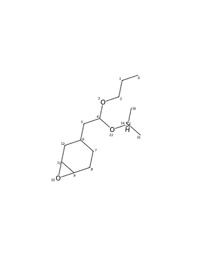 CCCOC(CC1CCC2OC2C1)O[SiH](C)C